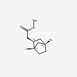 O=C(C[C@H]1C[C@@H]2CC[C@H]1C2)OO